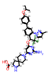 Cc1ccn(-c2cc(-c3ccc(OC(C)C)cc3)ccc2C(Oc2cc(N3CCC4(CC3)CN[C@H](C(=O)O)C4)nc(N)n2)C(F)(F)F)n1